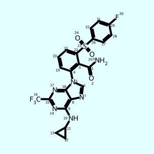 NC(=O)c1c(-n2cnc3c(NC4CC4)nc(C(F)(F)F)nc32)cccc1S(=O)(=O)c1ccc(F)cc1